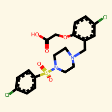 O=C(O)COc1ccc(Cl)cc1CN1CCN(S(=O)(=O)c2ccc(Cl)cc2)CC1